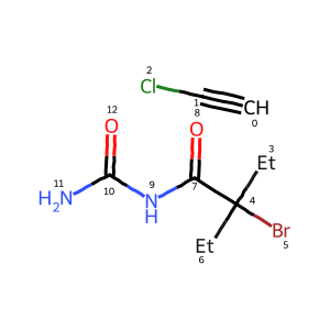 C#CCl.CCC(Br)(CC)C(=O)NC(N)=O